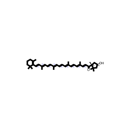 CC1=C(/C=C/C(C)=C/C=C/C(C)=C/C=C/C=C(C)/C=C/C=C(C)/C=C/C(=O)[C@]2(C)C[C@H](O)CC2(C)C)C(C)(C)CCC1